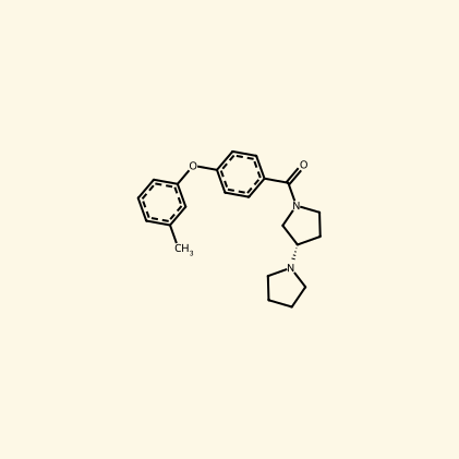 Cc1cccc(Oc2ccc(C(=O)N3CC[C@H](N4CCCC4)C3)cc2)c1